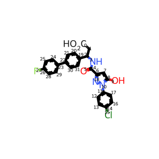 O=C(O)CC(NC(=O)c1cc(O)n(-c2ccc(Cl)cc2)n1)c1ccc(-c2ccc(F)cc2)cc1